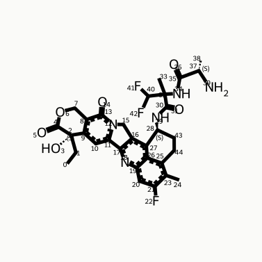 CC[C@@]1(O)C(=O)OCc2c1cc1n(c2=O)Cc2c-1nc1cc(F)c(C)c3c1c2[C@@H](NC(=O)C(C)(NC(=O)[C@H](C)N)C(F)F)CC3